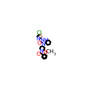 COc1ccccc1C(=O)N1CCC(N(C(=O)Nc2ncc(Cl)s2)C2CCCCC2)CC1